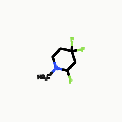 O=C(O)N1CCC(F)(F)CC1F